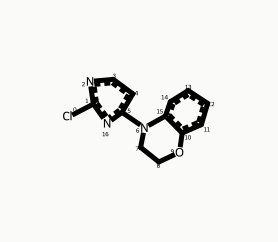 Clc1nccc(N2CCOc3ccccc32)n1